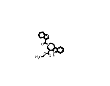 CCOC(=O)C1=CN(C(=O)c2csc3ccccc23)CCc2c1[nH]c1ccccc21